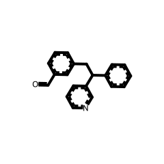 O=Cc1cccc(CC(c2ccccc2)c2cccnc2)c1